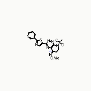 CO/N=C1\CCN(S(C)(=O)=O)c2nnc(-c3cnc(-c4cccnc4)s3)nc21